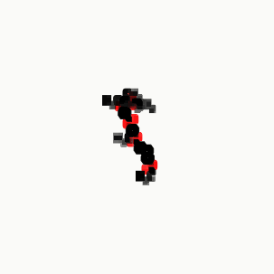 C=CC(=O)Oc1ccc2c(ccc3cc(C(=O)Oc4ccc(OC(=O)c5ccc(OC(C)(C)CC(C)(C)OC(=O)C=C)cc5)cc4C)ccc32)c1